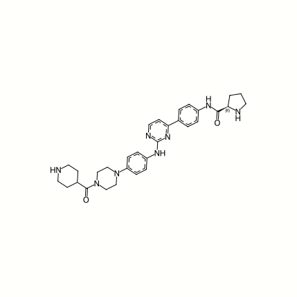 O=C(Nc1ccc(-c2ccnc(Nc3ccc(N4CCN(C(=O)C5CCNCC5)CC4)cc3)n2)cc1)[C@H]1CCCN1